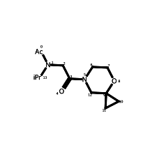 CC(=O)N(CC(=O)N1CCOC2(CC2)C1)C(C)C